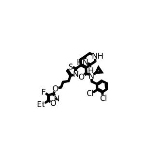 CCc1onc(OCCCc2csc(C3=C(C(=O)N(Cc4cccc(Cl)c4Cl)C4CC4)[C@H]4CNCC(C3)N4)n2)c1F